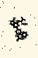 CC(C)[C@H](CO)Nc1nc(N2CCC3(CC2)NC(=O)Nc2ccccc23)nc2c1[S+]([O-])CC2